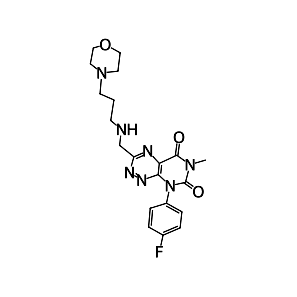 Cn1c(=O)c2nc(CNCCCN3CCOCC3)nnc2n(-c2ccc(F)cc2)c1=O